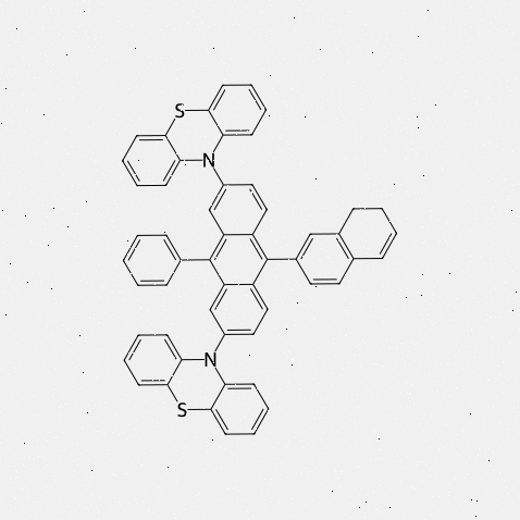 C1=Cc2ccc(-c3c4ccc(N5c6ccccc6Sc6ccccc65)cc4c(-c4ccccc4)c4cc(N5c6ccccc6Sc6ccccc65)ccc34)cc2CC1